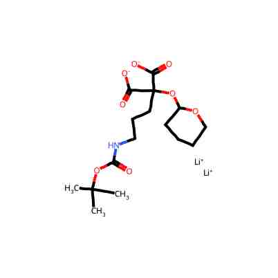 CC(C)(C)OC(=O)NCCCC(OC1CCCCO1)(C(=O)[O-])C(=O)[O-].[Li+].[Li+]